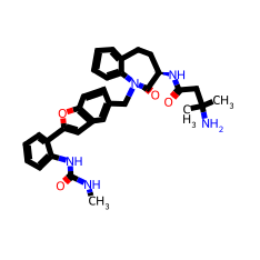 CNC(=O)Nc1ccccc1-c1cc2cc(CN3C(=O)[C@H](NC(=O)CC(C)(C)N)CCc4ccccc43)ccc2o1